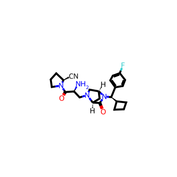 N#C[C@@H]1CCCN1C(=O)[C@@H](N)CN1C[C@@H]2C[C@H]1C(=O)N2[C@@H](c1ccc(F)cc1)C1CCC1